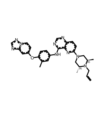 C=CCN1[C@H](C)CN(c2ccc3ncnc(Nc4ccc(Oc5ccn6ncnc6c5)c(C)c4)c3n2)C[C@H]1C